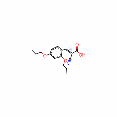 CCCOc1ccc(/C=C(\C#N)C(=O)O)c(OCCC)c1